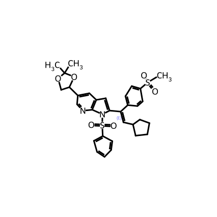 CC1(C)OCC(c2cnc3c(c2)cc(/C(=C/C2CCCC2)c2ccc(S(C)(=O)=O)cc2)n3S(=O)(=O)c2ccccc2)O1